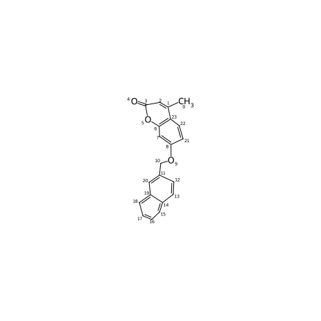 Cc1cc(=O)oc2cc(OCc3ccc4ccccc4c3)ccc12